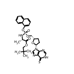 C[C@H](NP(=O)(OC[C@@H]1CC[C@H](n2cnc3c(=S)[nH]cnc32)O1)Oc1cccc2ccccc12)C(=O)OCC(C)(C)C